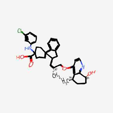 C[C@@H](COc1ccnc2c1[C@H](C)CC[C@H]2O)CC1Cc2ccccc2C12CCC(Nc1cccc(Cl)c1)(C(=O)O)CC2